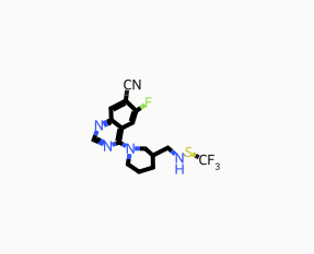 N#Cc1cc2ncnc(N3CCCC(CNSC(F)(F)F)C3)c2cc1F